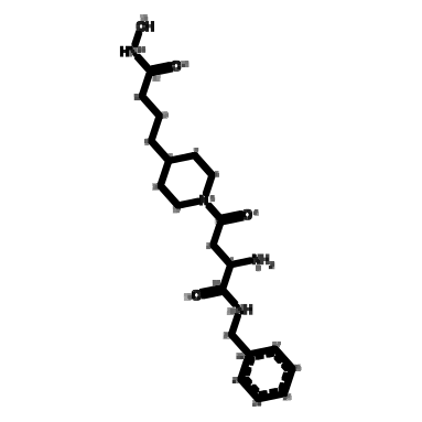 NC(CC(=O)N1CCC(CCCC(=O)NO)CC1)C(=O)NCc1ccccc1